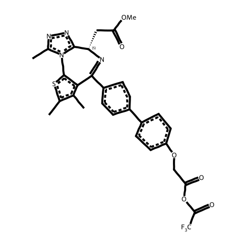 COC(=O)C[C@@H]1N=C(c2ccc(-c3ccc(OCC(=O)OC(=O)C(F)(F)F)cc3)cc2)c2c(sc(C)c2C)-n2c(C)nnc21